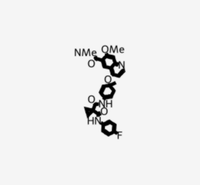 CNC(=O)c1cc2c(OC3(C)C=CC(NC(=O)C4(C(=O)Nc5ccc(F)cc5)CC4)=CC3)ccnc2cc1OC